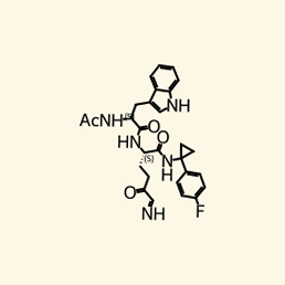 CC(=O)N[C@@H](Cc1c[nH]c2ccccc12)C(=O)N[C@@H](CCC(=O)C=N)C(=O)NC1(c2ccc(F)cc2)CC1